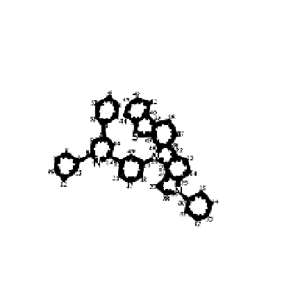 c1ccc(-c2cc(-c3ccccc3)nc(-c3cccc(-n4c5c(ccc6c5ccn6-c5ccccc5)c5ccc6c7ccccc7sc6c54)c3)c2)cc1